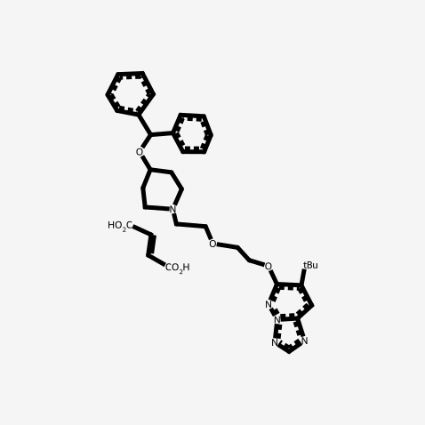 CC(C)(C)c1cc2ncnn2nc1OCCOCCN1CCC(OC(c2ccccc2)c2ccccc2)CC1.O=C(O)/C=C/C(=O)O